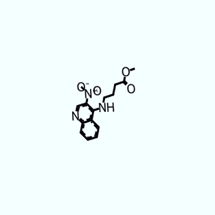 COC(=O)CCCNc1c([N+](=O)[O-])cnc2ccccc12